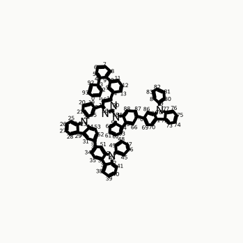 c1ccc(-c2ccccc2-c2cccc(-c3cc(-c4cccc(-n5c6ccccc6c6cc(-c7ccc8c9ccccc9n(-c9ccccc9)c8c7)ccc65)c4)nc(-n4c5ccccc5c5cc(-c6ccc7c8ccccc8n(-c8ccccc8)c7c6)ccc54)n3)c2)cc1